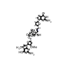 CO[C@H]1C[C@@H](COP(=O)(O)OP(=O)(O)OP(=O)(O)/C=C/C[C@@H]2CC[C@H](n3cnc4c(=O)[nH]c(N)nc43)O2)O[C@H]1n1c[n+](C)c2c(O)nc(N)nc21